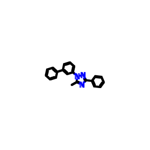 Cc1nc(-c2ccccc2)nn1-c1cccc(-c2ccccc2)c1